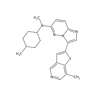 Cc1cncc2cc(-c3cnc4ccc(N(C)C5CCC(C)CC5)nn34)sc12